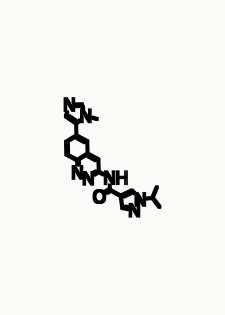 CC(C)n1cc(C(=O)Nc2cc3cc(-c4cncn4C)ccc3nn2)cn1